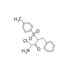 Cc1ccc(S(=O)(=O)C(Cc2ccccc2)C(=O)C(N)Cl)cc1